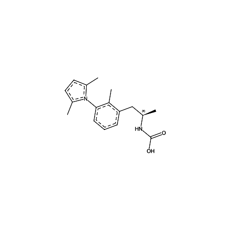 Cc1c(C[C@@H](C)NC(=O)O)cccc1-n1c(C)ccc1C